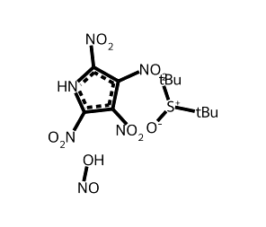 CC(C)(C)[S+]([O-])C(C)(C)C.O=NO.O=[N+]([O-])c1[nH]c([N+](=O)[O-])c([N+](=O)[O-])c1[N+](=O)[O-]